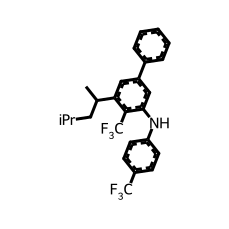 CC(C)CC(C)c1cc(-c2ccccc2)cc(Nc2ccc(C(F)(F)F)cc2)c1C(F)(F)F